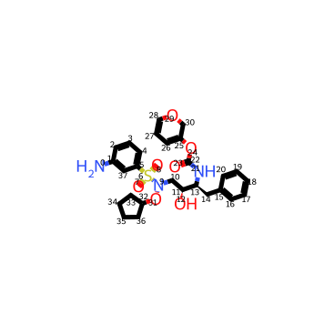 Nc1cccc(S(=O)(=O)N(C[C@@H](O)[C@H](Cc2ccccc2)NC(=O)OC2=CC=COC2)OC2CCCC2)c1